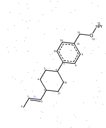 C/C=C/C1CCC(c2ccc(COCCC)cc2)CC1